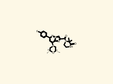 C[C@@H]1CN(c2cc(-c3ccc(F)cc3)nn3cc(C(=O)N4CCNC(=O)C4(C)C)nc23)C[C@H](C)O1